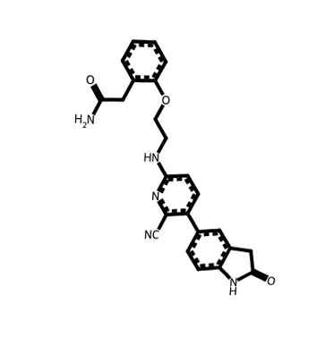 N#Cc1nc(NCCOc2ccccc2CC(N)=O)ccc1-c1ccc2c(c1)CC(=O)N2